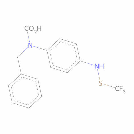 O=C(O)N(Cc1ccccc1)c1ccc(NSC(F)(F)F)cc1